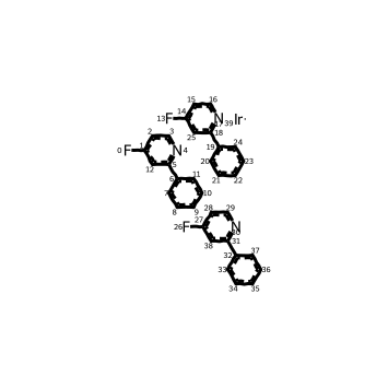 Fc1ccnc(-c2ccccc2)c1.Fc1ccnc(-c2ccccc2)c1.Fc1ccnc(-c2ccccc2)c1.[Ir]